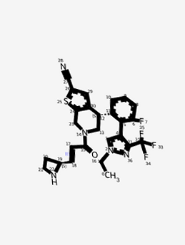 CCn1cc(-c2c(F)cccc2[C@@H]2CN(C(=O)/C=C/[C@@H]3CCN3)Cc3sc(C#N)cc32)c(C(F)(F)F)n1